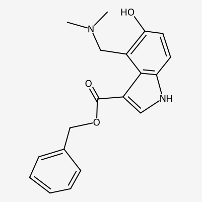 CN(C)Cc1c(O)ccc2[nH]cc(C(=O)OCc3ccccc3)c12